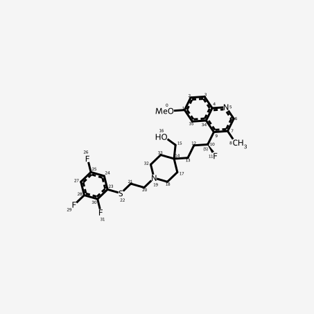 COc1ccc2ncc(C)c([C@@H](F)CCC3(CO)CCN(CCSc4cc(F)cc(F)c4F)CC3)c2c1